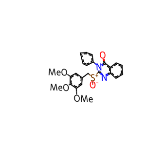 COc1cc(C[S+]([O-])c2nc3ccccc3c(=O)n2-c2ccccc2)cc(OC)c1OC